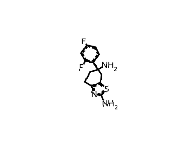 Nc1nc2c(s1)CC(N)(c1ccc(F)cc1F)CC2